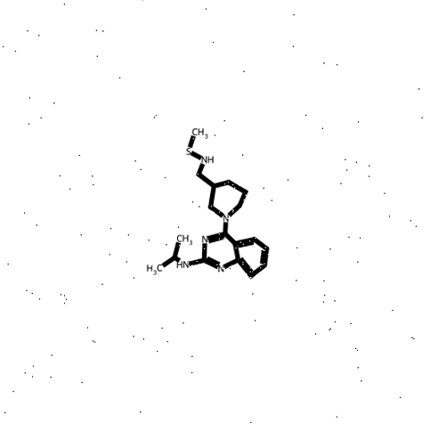 CSNCC1CCCN(c2nc(NC(C)C)nc3ccccc23)C1